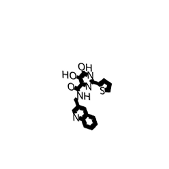 O=C(NCc1cnc2ccccc2c1)c1nc(-c2cccs2)nc(O)c1O